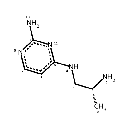 C[C@@H](N)CNc1ccnc(N)n1